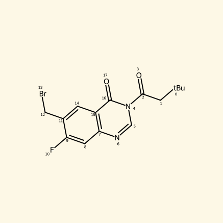 CC(C)(C)CC(=O)n1cnc2cc(F)c(CBr)cc2c1=O